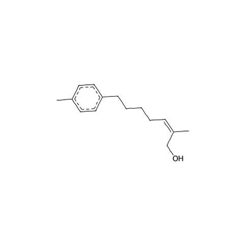 C/C(=C/CCCCc1ccc(C)cc1)CO